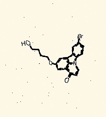 O=c1ccn2c3ccc(Br)cc3c3cc(OCCCCO)cc1c32